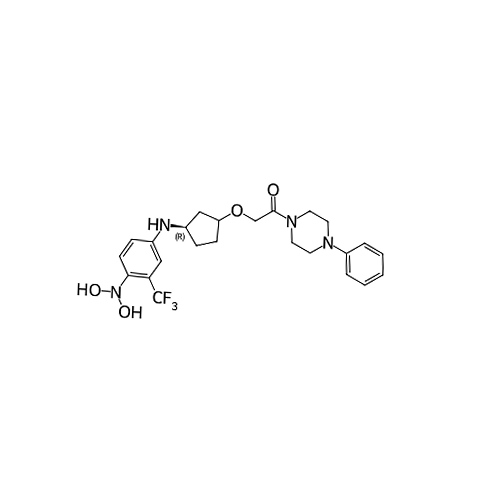 O=C(COC1CC[C@@H](Nc2ccc(N(O)O)c(C(F)(F)F)c2)C1)N1CCN(c2ccccc2)CC1